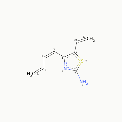 C=C/C=C\c1nc(N)sc1C=C